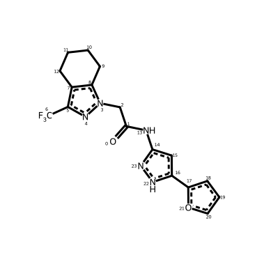 O=C(Cn1nc(C(F)(F)F)c2c1CCCC2)Nc1cc(-c2ccco2)[nH]n1